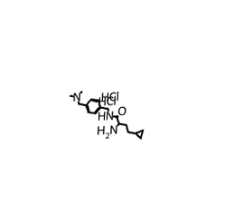 CN(C)Cc1ccc(CNC(=O)C(N)CCC2CC2)cc1.Cl.Cl